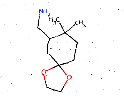 CC1(C)CCC2(CC1CN)OCCO2